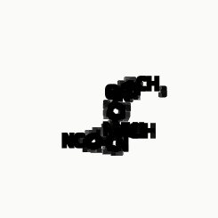 CN1CCN(C(=O)c2ccc(-c3nc4c(-c5ccc(C#N)cc5)ccnc4[nH]3)cc2)CC1.Cl